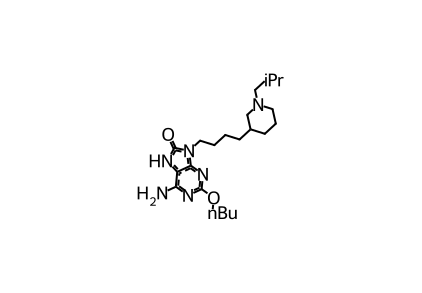 CCCCOc1nc(N)c2[nH]c(=O)n(CCCCC3CCCN(CC(C)C)C3)c2n1